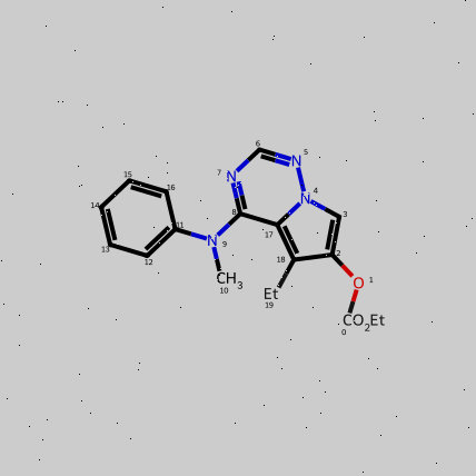 CCOC(=O)Oc1cn2ncnc(N(C)c3ccccc3)c2c1CC